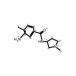 Cc1ccc(C(=O)NC2CCN(C)C2)cc1N